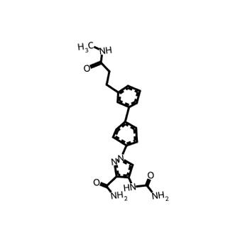 CNC(=O)CCc1cccc(-c2ccc(-n3cc(NC(N)=O)c(C(N)=O)n3)cc2)c1